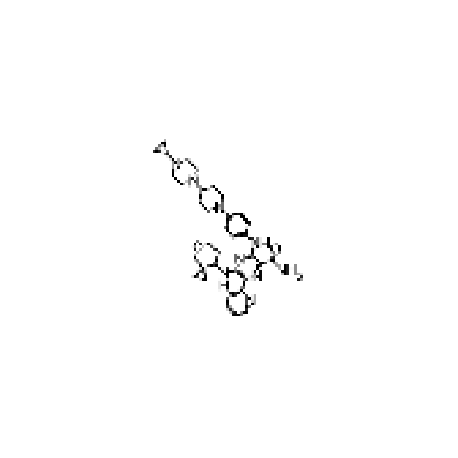 NC(=O)c1nc(-c2ccccn2)c(NC2CCOCC23CC3)nc1Nc1ccc(N2CCC(N3CCN(C4CC4)CC3)CC2)cc1